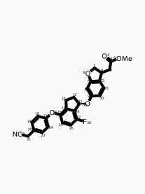 COC(=O)CC1COc2cc(O[C@@H]3CCc4c(Oc5ccc(CC#N)cc5)ccc(F)c43)ccc21